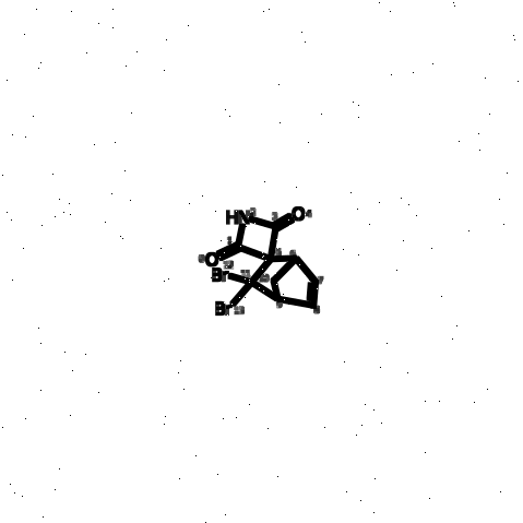 O=C1NC(=O)C12C1C=CC(C1)C2(Br)Br